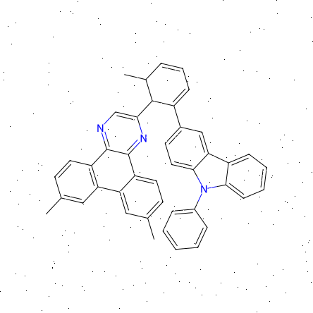 Cc1ccc2c(c1)c1cc(C)ccc1c1nc(C3C(c4ccc5c(c4)c4ccccc4n5-c4ccccc4)=CC=CC3C)cnc21